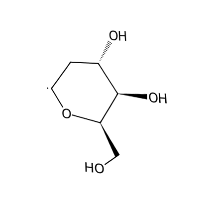 OC[C@H]1O[CH]C[C@H](O)[C@H]1O